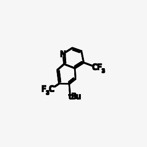 CC(C)(C)c1cc2c(C(F)(F)F)ccnc2cc1C(F)(F)F